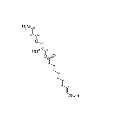 CCCCCCCC/C=C/CCCCCCCC(=O)OCC(O)COCCCN